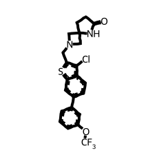 O=C1CCC2(CN(Cc3sc4cc(-c5cccc(OC(F)(F)F)c5)ccc4c3Cl)C2)N1